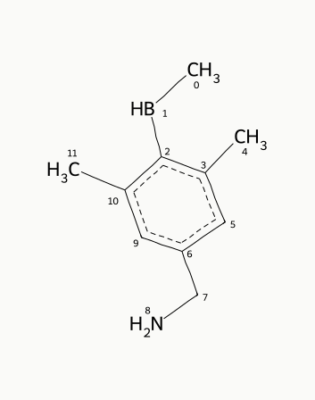 CBc1c(C)cc(CN)cc1C